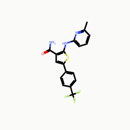 Cc1cccc(Nc2sc(-c3ccc(C(F)(F)F)cc3)cc2C(N)=O)n1